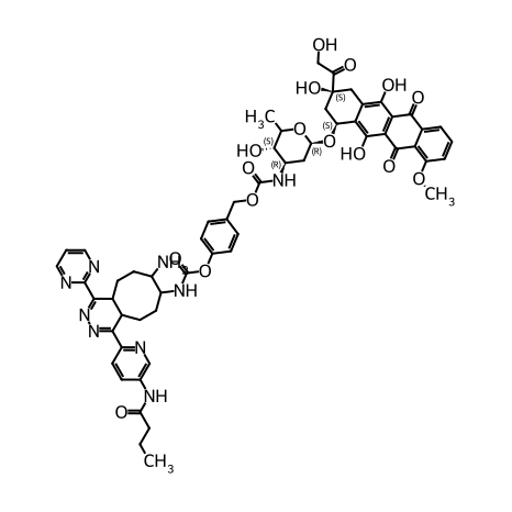 CCCC(=O)Nc1ccc(C2=NN=C(c3ncccn3)C3CCC(N)C(NC(=O)Oc4ccc(COC(=O)N[C@@H]5C[C@H](O[C@H]6C[C@](O)(C(=O)CO)Cc7c(O)c8c(c(O)c76)C(=O)c6c(OC)cccc6C8=O)OC(C)[C@H]5O)cc4)CCC23)nc1